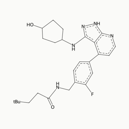 CC(C)(C)CCC(=O)NCc1ccc(-c2ccnc3[nH]nc(NC4CCC(O)CC4)c23)cc1F